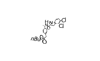 CCCCOC(=O)Cc1ccc(C(C)NC(=O)c2cc3c(Cl)c(Cl)ccc3n2C)cc1